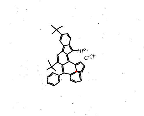 CC(C)(C)c1ccc2c(c1)=c1cc(C(C)(C)C)c(=C(c3ccccc3)c3ccccc3)c(C3=CC=CC3)c1[C]=2[Hf+2].[Cl-].[Cl-]